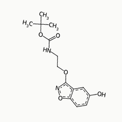 CC(C)(C)OC(=O)NCCOc1noc2ccc(O)cc12